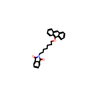 O=C1c2ccccc2C(=O)N1CCCCCCCOc1c2ccccc2cc2ccccc12